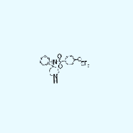 O=S(=O)(NC1(c2ccccc2)CCNCC1)c1ccc(OC(F)(F)F)cc1